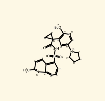 Cc1ccc2c(S(=O)(=O)NC(=O)C3(c4cc(N5CCCC5)cnc4OCC(C)C)CC3)cccc2n1